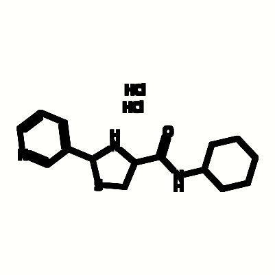 Cl.Cl.O=C(NC1CCCCC1)C1CSC(c2cccnc2)N1